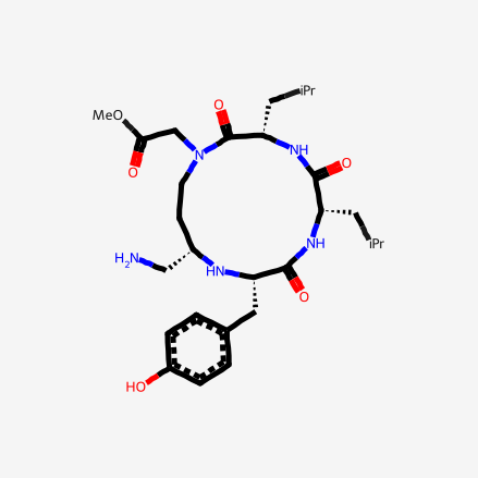 COC(=O)CN1CC[C@@H](CN)N[C@@H](Cc2ccc(O)cc2)C(=O)N[C@@H](CC(C)C)C(=O)N[C@@H](CC(C)C)C1=O